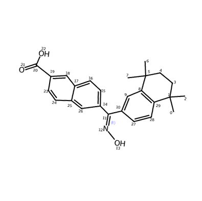 CC1(C)CCC(C)(C)c2cc(/C(=N\O)c3ccc4cc(C(=O)O)ccc4c3)ccc21